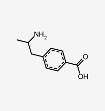 CC(N)Cc1ccc(C(=O)O)cc1